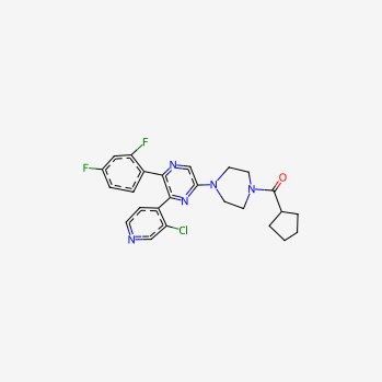 O=C(C1CCCC1)N1CCN(c2cnc(-c3ccc(F)cc3F)c(-c3ccncc3Cl)n2)CC1